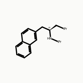 CC(C)C[C@H](Cc1ccc2ccccc2c1)NC(C)C